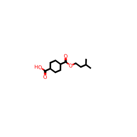 CC(C)CCOC(=O)C1CCC(C(=O)O)CC1